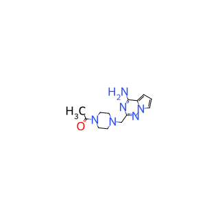 CC(=O)N1CCN(Cc2nc(N)c3cccn3n2)CC1